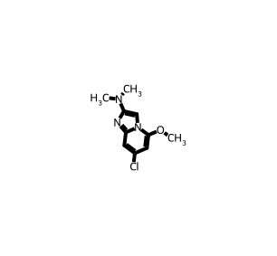 COc1cc(Cl)cc2nc(N(C)C)cn12